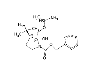 C[SiH](C)OC[C@]1(O)[C@H](C(C)(C)C)CCN1C(=O)OCc1ccccc1